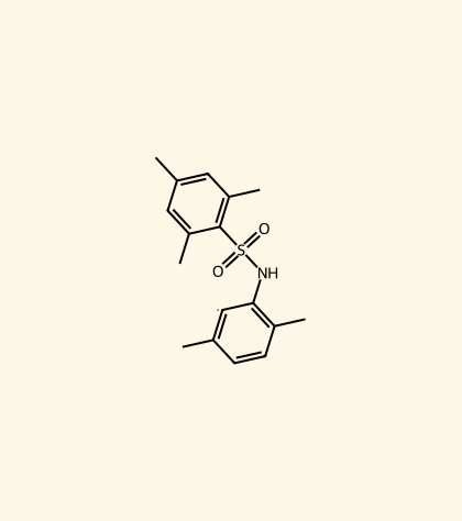 Cc1[c]c(NS(=O)(=O)c2c(C)cc(C)cc2C)c(C)cc1